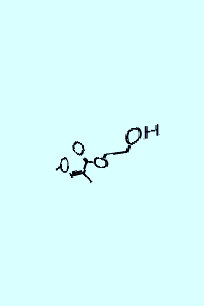 COC=C(C)C(=O)OCCO